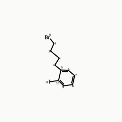 BrCCCCc1ccccc1I